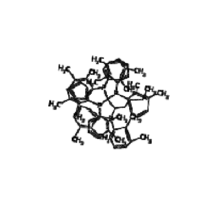 CCCCC(P(c1cccc(C)c1C)c1cccc(C)c1C)C(P(c1cccc(C)c1C)c1cccc(C)c1C)(P(c1cccc(C)c1C)c1cccc(C)c1C)P(c1cccc(C)c1C)c1cccc(C)c1C